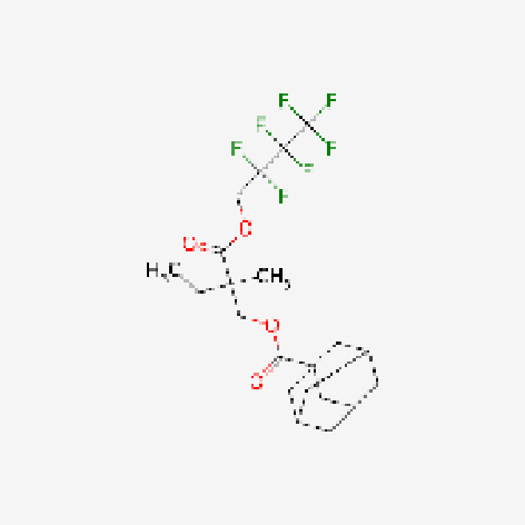 CCC(C)(COC(=O)C12CC3CC(CC(C3)C1)C2)C(=O)OCC(F)(F)C(F)(F)C(F)(F)F